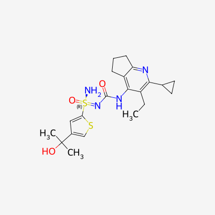 CCc1c(C2CC2)nc2c(c1NC(=O)N=[S@@](N)(=O)c1cc(C(C)(C)O)cs1)CCC2